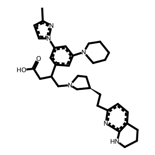 Cc1ccn(-c2cc(C(CC(=O)O)CN3CC[C@@H](CCc4ccc5c(n4)NCCC5)C3)cc(N3CCCCC3)c2)n1